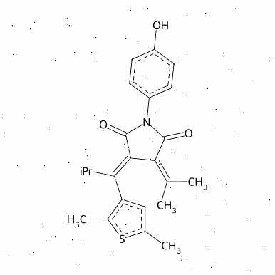 CC(C)=C1C(=O)N(c2ccc(O)cc2)C(=O)/C1=C(/c1cc(C)sc1C)C(C)C